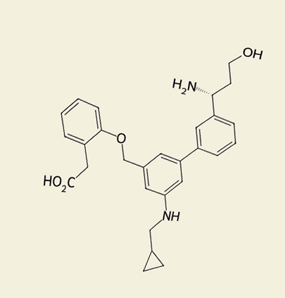 N[C@H](CCO)c1cccc(-c2cc(COc3ccccc3CC(=O)O)cc(NCC3CC3)c2)c1